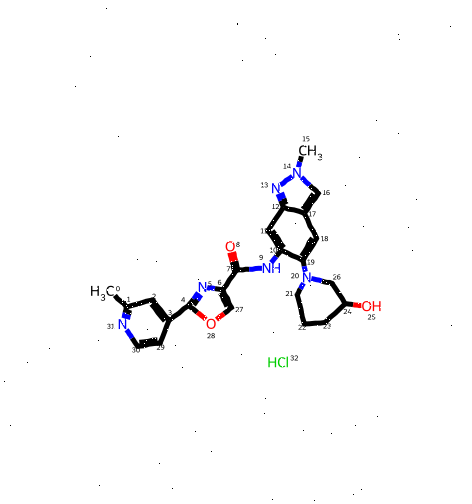 Cc1cc(-c2nc(C(=O)Nc3cc4nn(C)cc4cc3N3CCCC(O)C3)co2)ccn1.Cl